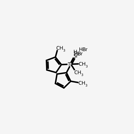 Br.Br.CC1=[C]([Ti]([CH3])([CH3])(=[SiH2])[C]2=C(C)C=CC2)CC=C1